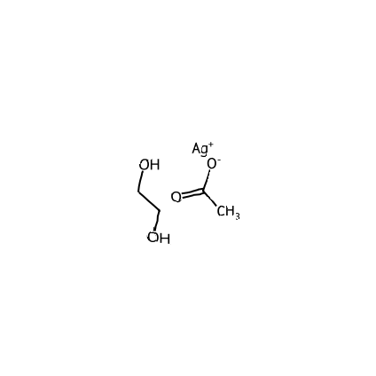 CC(=O)[O-].OCCO.[Ag+]